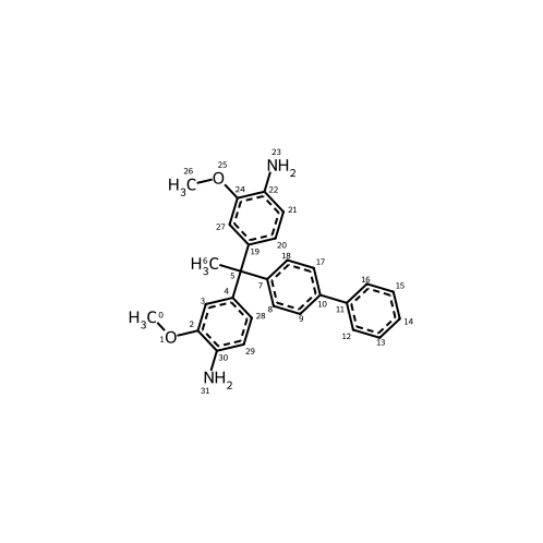 COc1cc(C(C)(c2ccc(-c3ccccc3)cc2)c2ccc(N)c(OC)c2)ccc1N